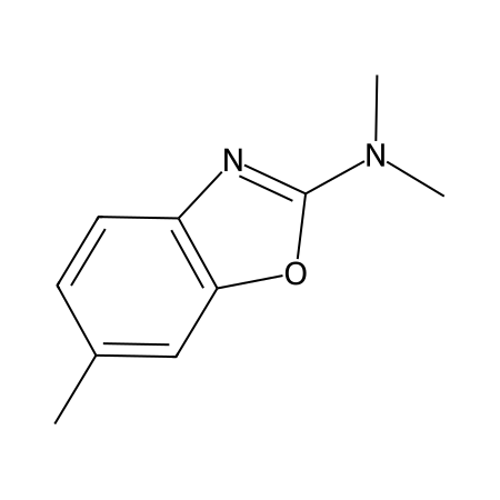 Cc1ccc2nc(N(C)C)oc2c1